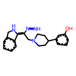 N=N/C(CN1CCC(c2cccc(O)c2)CC1)=C1\NCc2ccccc21